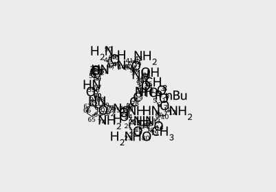 CCCCOP(=O)(O)CC(=O)N[C@@H](CCN)C(=O)N[C@H](C(=O)N[C@@H](CCN)C(=O)N[C@H]1CCNC(=O)[C@H](C(C)O)NC(=O)[C@H](CCN)NC(=O)[C@H](CCN)NC(=O)[C@H](CC(C)C)NC(=O)[C@@H](Cc2ccccc2)NC(=O)[C@H](CCN)NC1=O)C(C)O